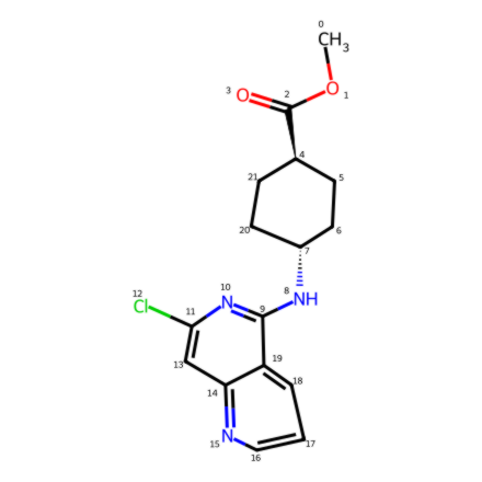 COC(=O)[C@H]1CC[C@H](Nc2nc(Cl)cc3ncccc23)CC1